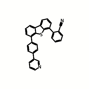 N#Cc1ccccc1-c1cccc2c1sc1c(-c3ccc(-c4cccnc4)cc3)cccc12